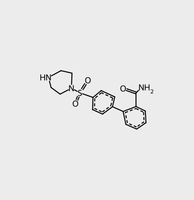 NC(=O)c1ccccc1-c1ccc(S(=O)(=O)N2CCNCC2)cc1